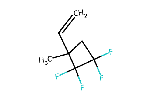 C=CC1(C)CC(F)(F)C1(F)F